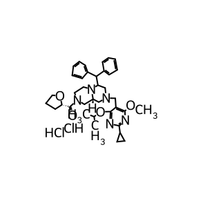 COc1nc(C2CC2)nc(OC(C)C)c1CN1CC(C(c2ccccc2)c2ccccc2)N2CCN(C(=O)[C@@H]3CCCO3)C[C@H]2C1.Cl.Cl